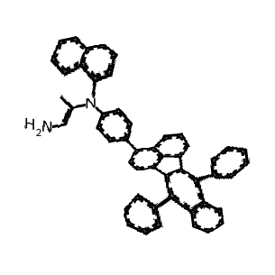 C/C(=C\N)N(c1ccc(-c2ccc3c4c(cccc24)-c2c-3c(-c3ccccc3)c3ccccc3c2-c2ccccc2)cc1)c1cccc2ccccc12